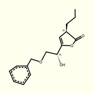 CCC[C@@H]1C=C([C@H](O)COCc2ccccc2)OC1=O